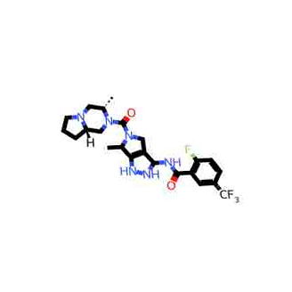 CC1C2=C(CN1C(=O)N1C[C@@H]3CCCN3C[C@@H]1C)C(NC(=O)c1cc(C(F)(F)F)ccc1F)NN2